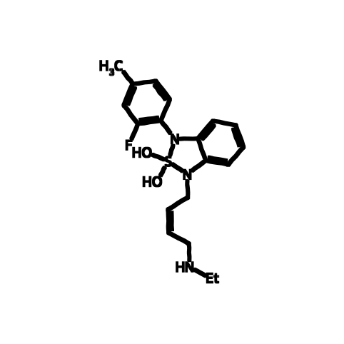 CCNC/C=C\CN1c2ccccc2N(c2ccc(C)cc2F)S1(O)O